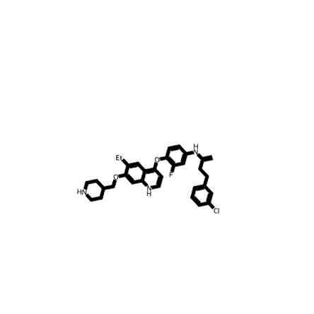 C=C(CCc1cccc(Cl)c1)Nc1ccc(OC2=C3C=C(CC)C(OCC4CCNCC4)=CC3NC=C2)c(F)c1